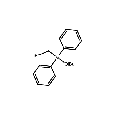 CC(C)CO[Si](CC(C)C)(c1ccccc1)c1ccccc1